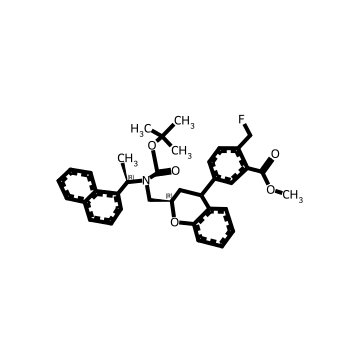 COC(=O)c1cc(C2C[C@H](CN(C(=O)OC(C)(C)C)[C@H](C)c3cccc4ccccc34)Oc3ccccc32)ccc1CF